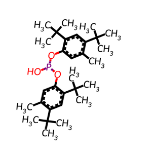 Cc1cc(OP(O)Oc2cc(C)c(C(C)(C)C)cc2C(C)(C)C)c(C(C)(C)C)cc1C(C)(C)C